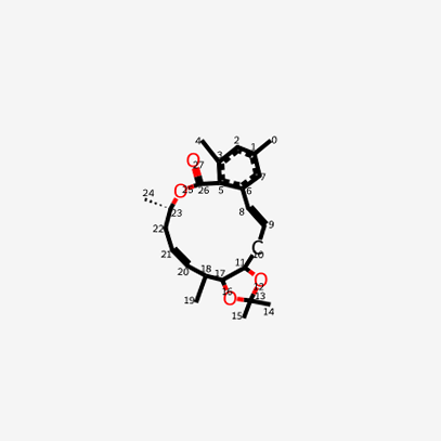 Cc1cc(C)c2c(c1)/C=C/CC1OC(C)(C)OC1C(C)/C=C\C[C@H](C)OC2=O